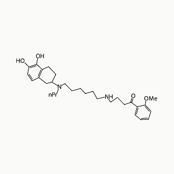 CCCN(CCCCCCNCCCC(=O)c1ccccc1OC)C1CCc2c(ccc(O)c2O)C1